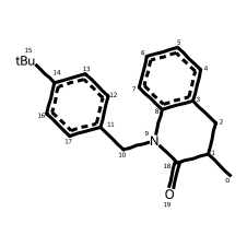 CC1Cc2ccccc2N(Cc2ccc(C(C)(C)C)cc2)C1=O